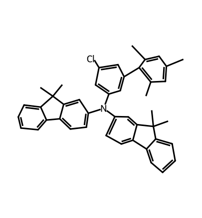 Cc1cc(C)c(-c2cc(Cl)cc(N(c3ccc4c(c3)C(C)(C)c3ccccc3-4)c3ccc4c(c3)C(C)(C)c3ccccc3-4)c2)c(C)c1